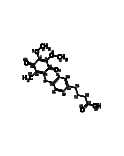 COC1=C(OC)C(=O)C(Cc2ccc(CCCC(=O)O)cc2)=C(C)C1=O